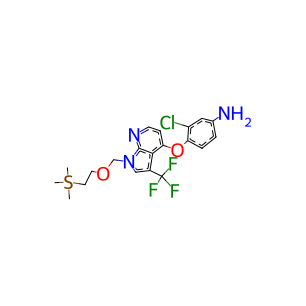 CS(C)(C)CCOCn1cc(C(F)(F)F)c2c(Oc3ccc(N)cc3Cl)ccnc21